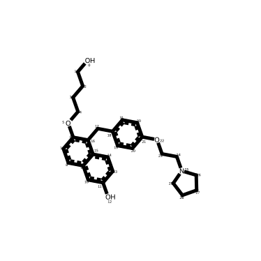 OCCCCOc1ccc2cc(O)ccc2c1Cc1ccc(OCCN2CCCC2)cc1